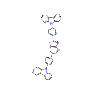 c1ccc2c(c1)c1ccccc1n2-c1ccc(-c2cnc3nc(-c4ccc(-n5c6ccccc6c6ccccc65)cc4)oc3c2)cc1